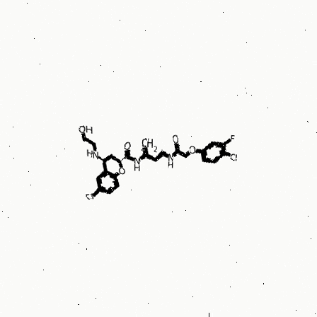 C=C(CCNC(=O)COc1ccc(Cl)c(F)c1)NC(=O)[C@H]1C[C@H](NCCO)c2cc(Cl)ccc2O1